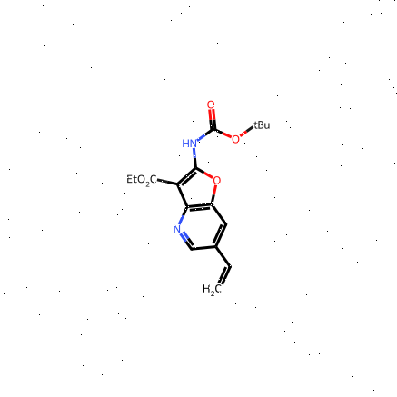 C=Cc1cnc2c(C(=O)OCC)c(NC(=O)OC(C)(C)C)oc2c1